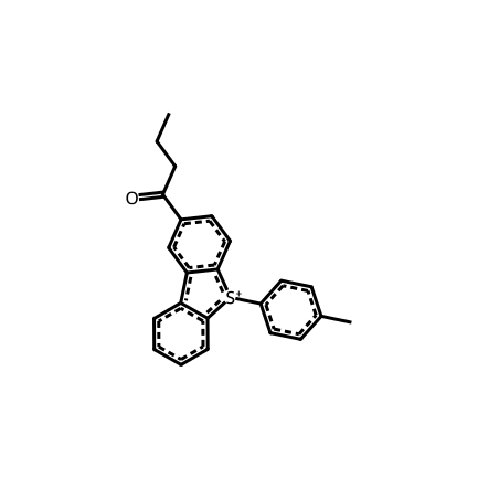 CCCC(=O)c1ccc2c(c1)c1ccccc1[s+]2-c1ccc(C)cc1